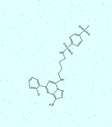 Bc1cnn2c(NCCCCNS(=O)(=O)c3ccc(S(C)(=O)=O)cc3)cc(-c3ccccc3Cl)nc12